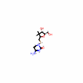 CC1(C)C(CSn2ccc(N)nc2=O)O[C@H](CO)[C@H]1O